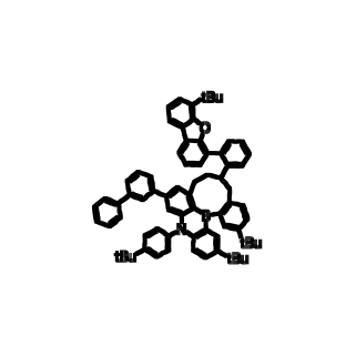 CC(C)(C)c1ccc(N2c3ccc(C(C)(C)C)cc3B3c4cc(C(C)(C)C)ccc4CC(c4ccccc4-c4cccc5c4oc4c(C(C)(C)C)cccc45)CCc4cc(-c5cccc(-c6ccccc6)c5)cc2c43)cc1